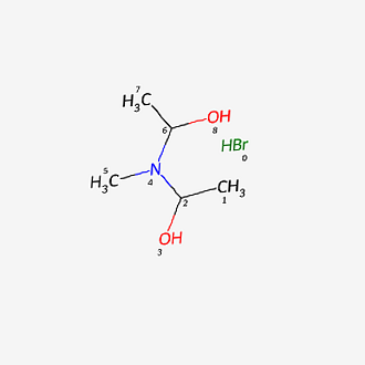 Br.CC(O)N(C)C(C)O